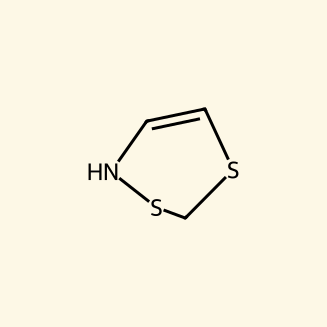 C1=CSCSN1